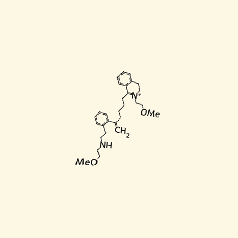 C=C(CCCCC1=[N+](CCOC)CCc2ccccc21)c1ccccc1CCNCCOC